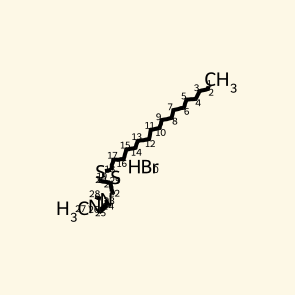 Br.CCCCCCCCCCCCCCCCCC1SCC(CN2C=CN(C)C2)S1